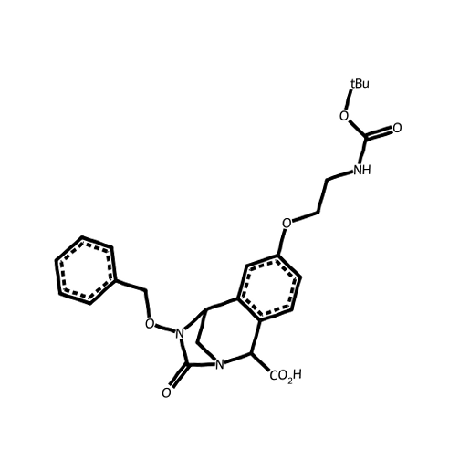 CC(C)(C)OC(=O)NCCOc1ccc2c(c1)C1CN(C(=O)N1OCc1ccccc1)C2C(=O)O